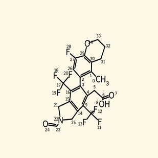 Cc1c(-c2c(CC(=O)O)c(C(F)(F)F)c3c(c2C(F)(F)F)CN(C=O)C3)cc(F)c2c1CCCO2